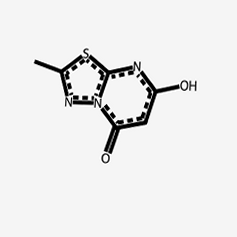 Cc1nn2c(=O)cc(O)nc2s1